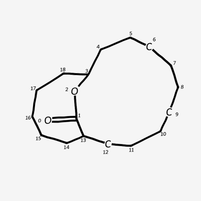 O=C1OC2CCCCCCCCCC1CCCCC2